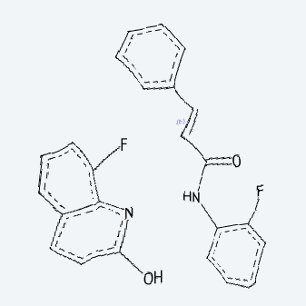 O=C(/C=C/c1ccccc1)Nc1ccccc1F.Oc1ccc2cccc(F)c2n1